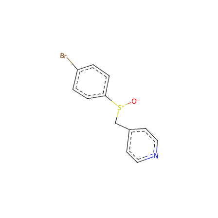 [O-][S+](Cc1ccncc1)c1ccc(Br)cc1